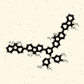 Cc1ccc(N(c2cc(-c3ccc4c(c3)C(C)(C)c3cc(-c5ccc6c(c5)C(C)(C)c5ccccc5-6)ccc3-4)cc(-c3ccc4c(c3)C(C)(C)c3cc(-c5ccc6c(c5)C(C)(C)c5ccccc5-6)ccc3-4)c2)c2ccc(C)c(C)c2)cc1C